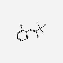 FC(F)(F)C(Cl)=Cc1ccccc1Br